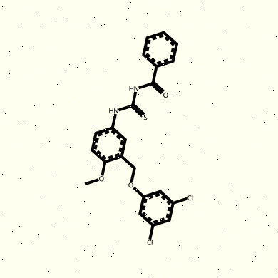 COc1ccc(NC(=S)NC(=O)c2ccccc2)cc1COc1cc(Cl)cc(Cl)c1